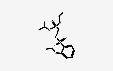 CCOP(=O)(COS(=O)(=O)c1ccccc1SCC)OC(C)C